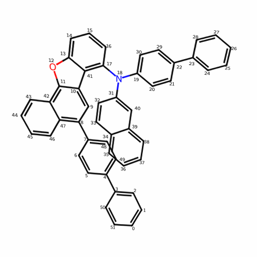 c1ccc(-c2ccc(-c3cc4c(oc5cccc(N(c6ccc(-c7ccccc7)cc6)c6ccc7ccccc7c6)c54)c4ccccc34)cc2)cc1